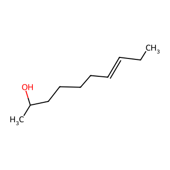 CCC=CCCCCC(C)O